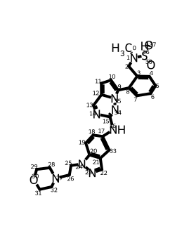 CN(Cc1ccccc1-c1ccc2cnc(Nc3ccc4c(cnn4CCN4CCOCC4)c3)nn12)[SH](=O)=O